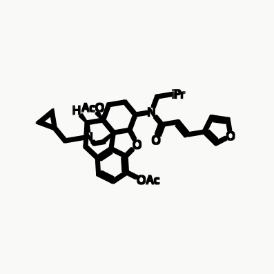 CC(=O)Oc1ccc2c3c1OC1C(N(CC(C)C)C(=O)/C=C/c4ccoc4)CC[C@@]4(OC(C)=O)[C@@H](C2)N(CC2CC2)CC[C@]314